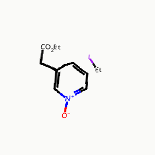 CCI.CCOC(=O)Cc1ccc[n+]([O-])c1